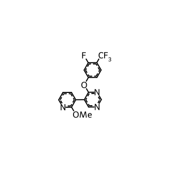 COc1ncccc1-c1cncnc1Oc1ccc(C(F)(F)F)c(F)c1